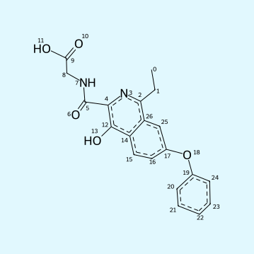 CCc1nc(C(=O)NCC(=O)O)c(O)c2ccc(Oc3ccccc3)cc12